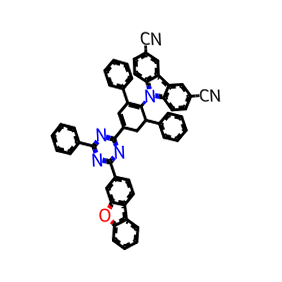 N#Cc1ccc2c(c1)c1cc(C#N)ccc1n2C1=C(c2ccccc2)C=C(c2nc(-c3ccccc3)nc(-c3ccc4c(c3)oc3ccccc34)n2)CC1c1ccccc1